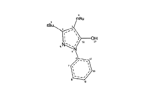 CCCCc1c(C(C)(C)C)nn(-c2ccccc2)c1O